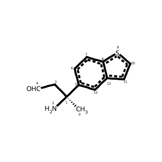 C[C@](N)(CC=O)c1ccc2sccc2c1